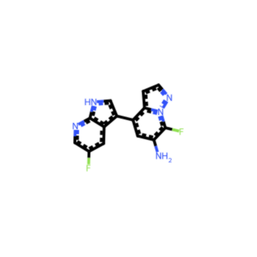 Nc1cc(-c2c[nH]c3ncc(F)cc23)c2ccnn2c1F